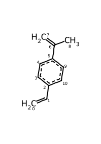 C=Cc1ccc(C(=C)C)cc1